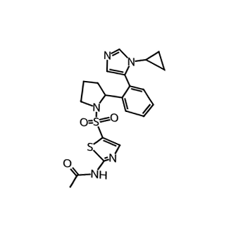 CC(=O)Nc1ncc(S(=O)(=O)N2CCCC2c2ccccc2-c2cncn2C2CC2)s1